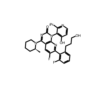 CC(C)c1nccc(O)c1-n1c(=O)nc(N2CCCC[C@@H]2C)c2cc(F)c(-c3c(F)cccc3CCCO)nc21